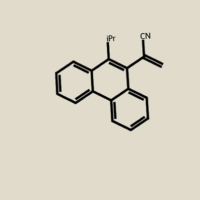 C=C(C#N)c1c(C(C)C)c2ccccc2c2ccccc12